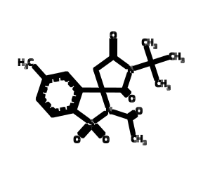 CC(=O)N1C2(CC(=O)N(C(C)(C)C)C2=O)c2cc(C)ccc2S1(=O)=O